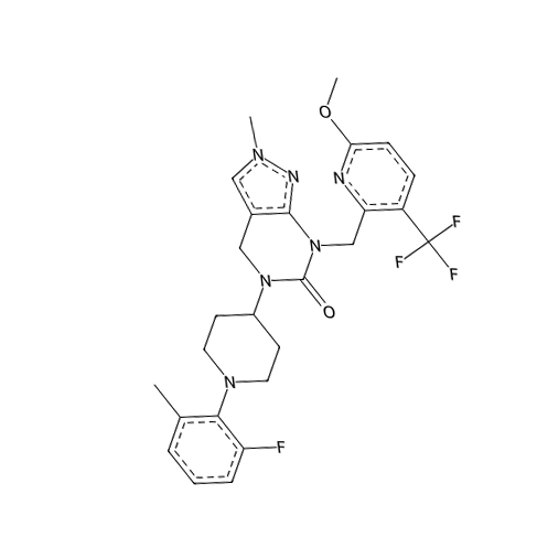 COc1ccc(C(F)(F)F)c(CN2C(=O)N(C3CCN(c4c(C)cccc4F)CC3)Cc3cn(C)nc32)n1